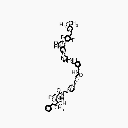 CC(C)C[C@H](NC(=O)[C@@H](O)[C@H](C)Cc1ccccc1)C(=O)NCCN1CCN(CCOCC(=O)NCc2cccc(CNc3cc(N4CCC5(CC4)CN(c4cc(F)c(CN6CCC(C)(C)CC6)cc4F)CC(=O)N5)ncn3)c2)CC1